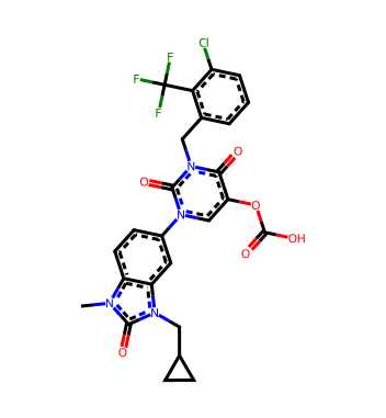 Cn1c(=O)n(CC2CC2)c2cc(-n3cc(OC(=O)O)c(=O)n(Cc4cccc(Cl)c4C(F)(F)F)c3=O)ccc21